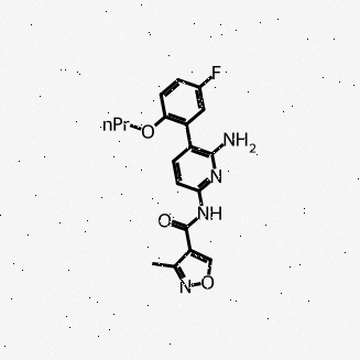 CCCOc1ccc(F)cc1-c1ccc(NC(=O)c2conc2C)nc1N